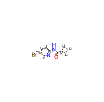 O=C(Nc1ccc(Br)cn1)C1CCC1